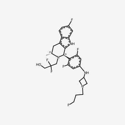 C[C@@H]1Cc2c([nH]c3cc(F)ccc23)[C@@H](c2c(F)cc(NC3CN(CCCF)C3)cc2F)N1CC(F)(F)CO